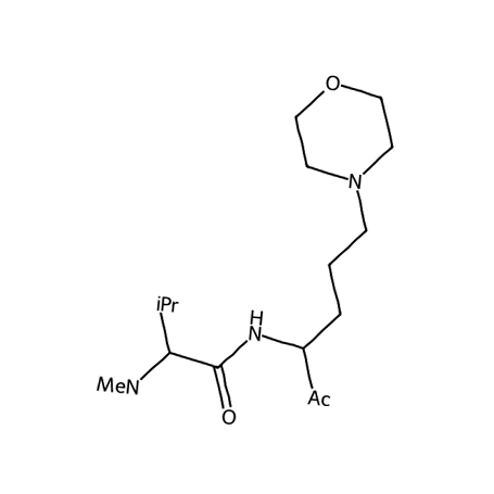 CNC(C(=O)NC(CCCN1CCOCC1)C(C)=O)C(C)C